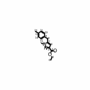 CCOC(=O)c1cc(Cc2ccc(C)cc2)n(C)n1